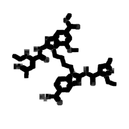 CCN/C(=C\C(C)=N)C(=O)Nc1nc2cc(C(=O)OC)cc(OC)c2n1CCCCn1c(NC(=O)c2cc(C)nn2CC)nc2cc(C(N)=O)ccc21